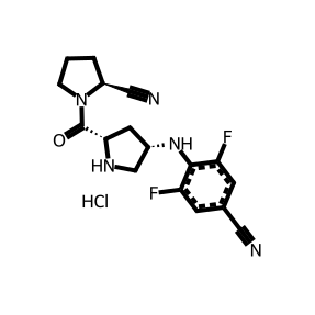 Cl.N#Cc1cc(F)c(N[C@@H]2CN[C@H](C(=O)N3CCC[C@H]3C#N)C2)c(F)c1